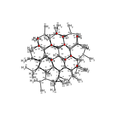 BBB(B(B)B)B(B(B)B)B(B(B(B(B)B)B(B)B)B(B(B)B)B(B)B)B(B(B(B(B)B)B(B)B)B(B(B)B)B(B)B)B(B(B(B(B(B)B)B(B)B)B(B(B)B)B(B)B)B(B(B(B)B)B(B)B)B(B(B)B)B(B)B)B(B(B(B(B)B)B(B)B)B(B(B)B)B(B)B)B(B(B(B)B)B(B)B)B(B(B)B)B(B)B